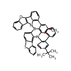 Cc1cc2c3c(c1)N(c1ccc(C(C)(C)C)cc1-c1ccccc1)c1c(ccc4sc5ccccc5c14)B3n1c3c-2cccc3c2oc3ccccc3c21